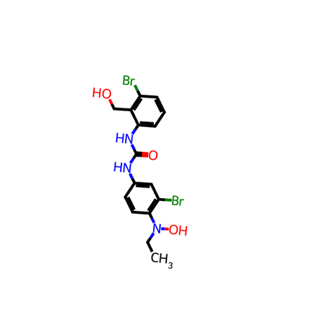 CCN(O)c1ccc(NC(=O)Nc2cccc(Br)c2CO)cc1Br